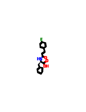 O=C(C=Cc1ccc(F)cc1)N[C@@H](Cc1ccccc1)C(=O)O